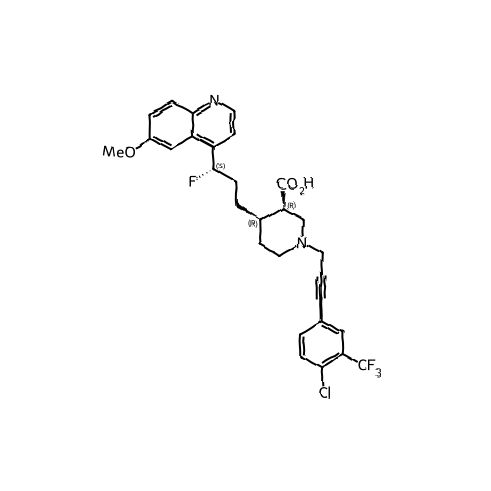 COc1ccc2nccc([C@@H](F)CC[C@@H]3CCN(CC#Cc4ccc(Cl)c(C(F)(F)F)c4)C[C@@H]3C(=O)O)c2c1